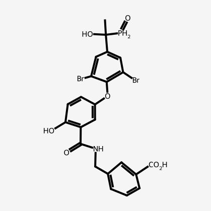 CC(O)([PH2]=O)c1cc(Br)c(Oc2ccc(O)c(C(=O)NCc3cccc(C(=O)O)c3)c2)c(Br)c1